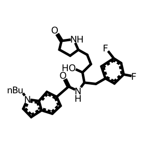 CCCCn1ccc2ccc(C(=O)NC(Cc3cc(F)cc(F)c3)C(O)CCC3CCC(=O)N3)cc21